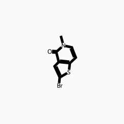 Cn1ccc2sc(Br)cc2c1=O